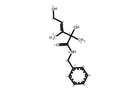 C/C(=C\CO)C(C)(O)C(=O)NCc1ccccc1